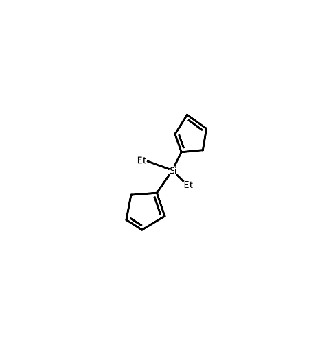 CC[Si](CC)(C1=CC=CC1)C1=CC=CC1